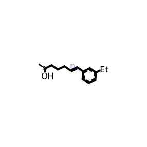 CCc1cccc(/C=C/CCC[C@H](C)O)c1